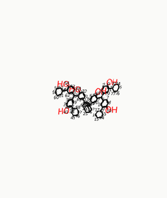 Oc1ccc(C(c2ccc(O)c(C3CCCCC3)c2)c2cc(C34CC5CC(C3)CC(c3ccc(O)c(C(c6ccc(O)c(C7CCCCC7)c6)c6ccc(O)c(C7CCCCC7)c6)c3)(C5)C4)ccc2O)cc1C1CCCCC1